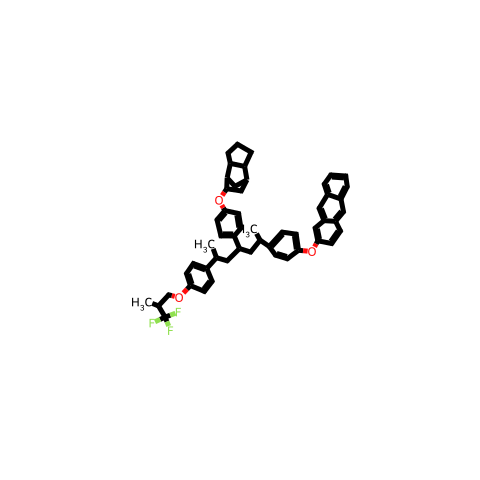 CC(CC(CC(C)c1ccc(Oc2ccc3cc4ccccc4cc3c2)cc1)c1ccc(OC2CC3CC2C2CCCC32)cc1)c1ccc(OCC(C)C(F)(F)F)cc1